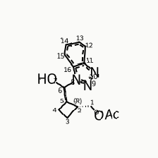 CC(=O)OC[C@@H]1CCC1C(O)n1nnc2ccccc21